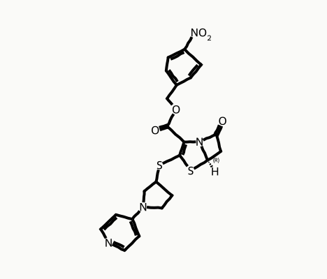 O=C(OCc1ccc([N+](=O)[O-])cc1)C1=C(SC2CCN(c3ccncc3)C2)S[C@@H]2CC(=O)N12